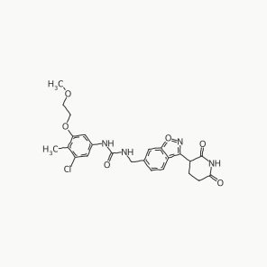 COCCOc1cc(NC(=O)NCc2ccc3c(C4CCC(=O)NC4=O)noc3c2)cc(Cl)c1C